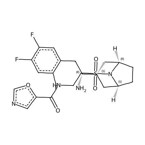 N[C@H](Cc1cc(F)c(F)cc1F)[C@@H]1C[C@H]2CC[C@@H](C1)N2S(=O)(=O)CCNC(=O)c1cnco1